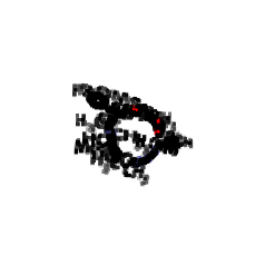 CO[C@@H]1C[C@H](C[C@@H](C)[C@@H]2CC(=O)[C@H](C)/C=C(\C)[C@@H](O)[C@@H](OC)C(=O)[C@H](C)C[C@H](C)/C=C/C=C/C=C(\C)[C@H](OC3CO[C@@H]4[C@H](O)CO[C@H]34)C[C@@H]3CC[C@@H](C)[C@@](O)(O3)C(=O)C(=O)N3CCCC[C@H]3C(=O)O2)CC[C@H]1O